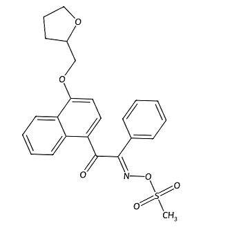 CS(=O)(=O)O/N=C(/C(=O)c1ccc(OCC2CCCO2)c2ccccc12)c1ccccc1